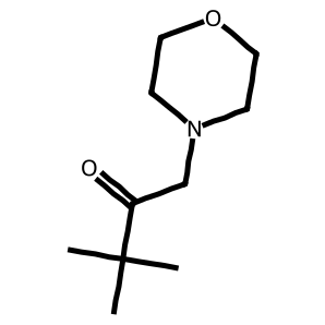 CC(C)(C)C(=O)CN1CCOCC1